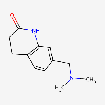 CN(C)Cc1ccc2c(c1)NC(=O)CC2